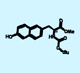 COC(=O)[C@H](Cc1ccc2cc(O)ccc2c1)NC(=O)OC(C)(C)C